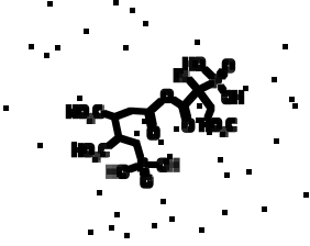 CCC(CC(=O)O)(C(=O)OC(=O)CC(C(=O)O)C(CP(=O)(O)O)C(=O)O)P(=O)(O)O